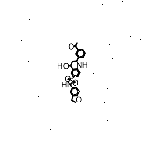 CC(=O)c1cccc(C2CC(O)c3cc(S(=O)(=O)Nc4ccc5c(c4)CCO5)ccc3N2)c1